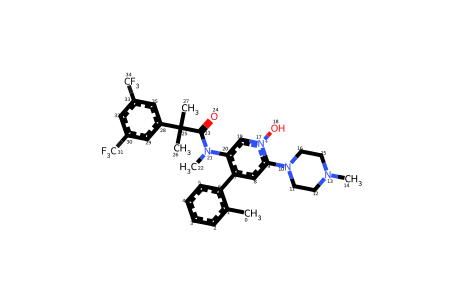 Cc1ccccc1-c1cc(N2CCN(C)CC2)[n+](O)cc1N(C)C(=O)C(C)(C)c1cc(C(F)(F)F)cc(C(F)(F)F)c1